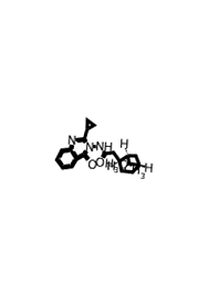 CC1(C)[C@H]2CC[C@@H](CC(=O)Nn3c(C4CC4)nc4ccccc4c3=O)[C@H]1C2